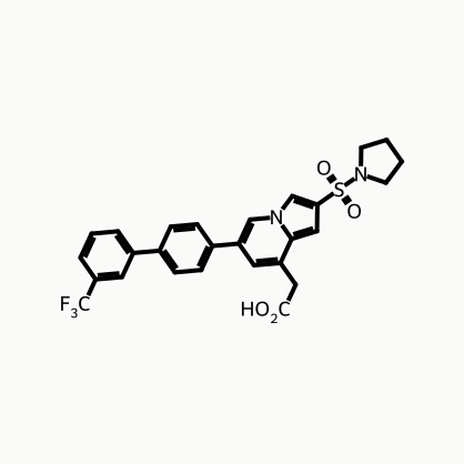 O=C(O)Cc1cc(-c2ccc(-c3cccc(C(F)(F)F)c3)cc2)cn2cc(S(=O)(=O)N3CCCC3)cc12